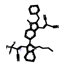 CCCCn1c(-c2ccc3c(c2)c(C=C(C#N)C#N)c(Cc2ccccc2)n3C)c(/C=C(\C#N)C(F)(F)F)c2ccccc21